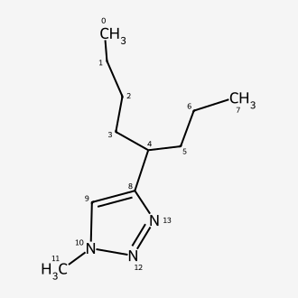 CCCCC(CCC)c1cn(C)nn1